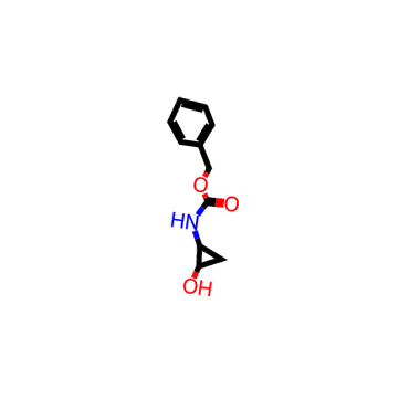 O=C(NC1CC1O)OCc1ccccc1